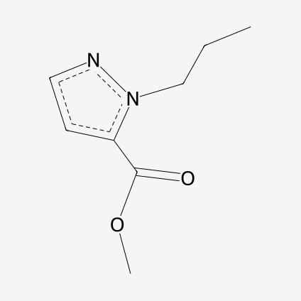 CCCn1nccc1C(=O)OC